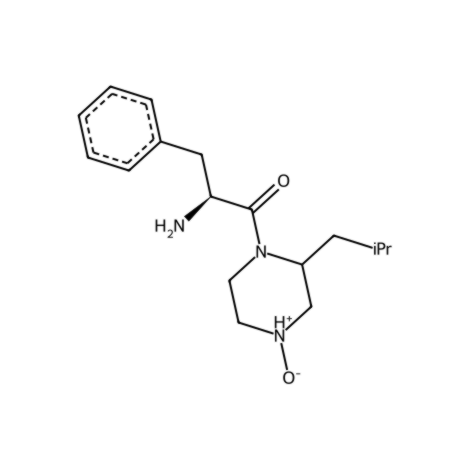 CC(C)CC1C[NH+]([O-])CCN1C(=O)[C@@H](N)Cc1ccccc1